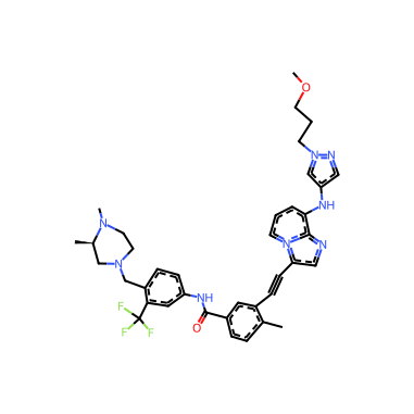 COCCCn1cc(Nc2cccn3c(C#Cc4cc(C(=O)Nc5ccc(CN6CCN(C)[C@H](C)C6)c(C(F)(F)F)c5)ccc4C)cnc23)cn1